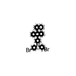 Brc1ccc(N(c2ccc(Br)cc2)c2ccc(-c3c4ccccc4c(-c4cccc5c4CCCC5)c4ccccc34)cc2)cc1